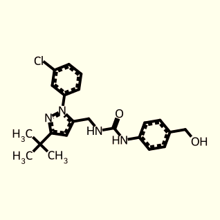 CC(C)(C)c1cc(CNC(=O)Nc2ccc(CO)cc2)n(-c2cccc(Cl)c2)n1